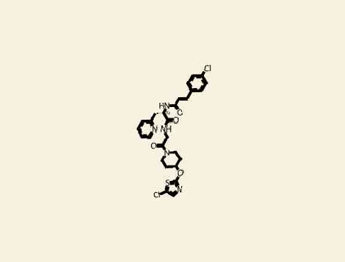 O=C(C=Cc1ccc(Cl)cc1)N[C@@H](Cc1ccccn1)C(=O)NCC(=O)N1CCC(Oc2ncc(Cl)s2)CC1